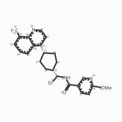 CCC(NC(=O)c1ccc(OC)nc1)[C@H]1CC[C@@H](c2ccnc3c(C(F)(F)F)cccc32)CC1